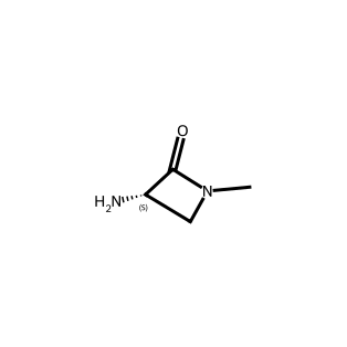 CN1C[C@H](N)C1=O